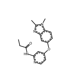 CCC(=O)Nc1cc(Oc2ccc3c(c2)nc(C)n3C)ccn1